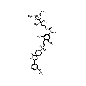 C[SiH2]OC(O[SiH2]C)C(C)(C)CCOC(=O)N(C)c1cc(C)c(C=CS(=O)(=O)N2CCC3(CC2)N=C(c2cccc(OC(F)(F)F)c2)NC3=O)c(C)c1